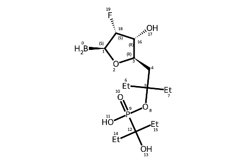 B[C@@H]1O[C@H](CC(CC)(CC)OP(=O)(O)C(O)(CC)CC)[C@@H](O)[C@H]1F